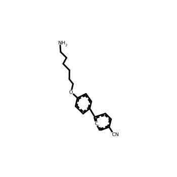 N#Cc1ccc(-c2ccc(OCCCCCCN)cc2)cc1